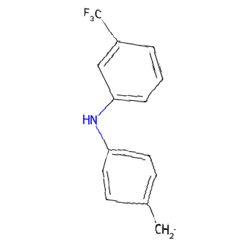 [CH2]c1ccc(Nc2cccc(C(F)(F)F)c2)cc1